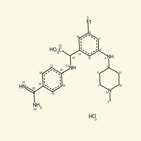 CCc1cc(NC2CCN(C)CC2)cc(C(Nc2ccc(C(=N)N)cc2)C(=O)O)c1.Cl